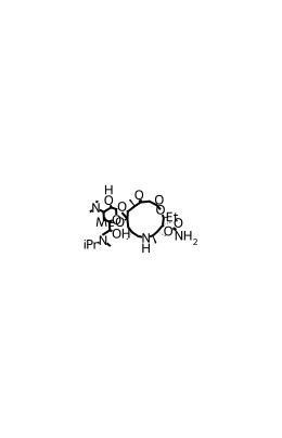 CC[C@H]1OC(=O)CC(=O)[C@H](C)[C@@H](O[C@@H]2OC(C(O)CN(C)C(C)C)CC(N(C)C)C2O)[C@](C)(OC)C[C@@H](C)CN[C@H](C)[C@@H](C)[C@]1(C)OC(N)=O